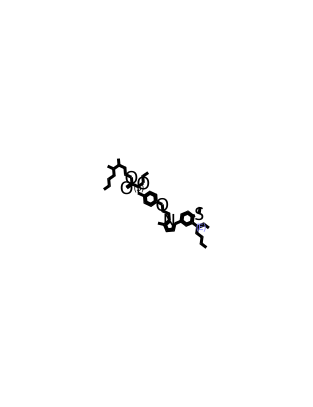 C/C=C(\CCCC)c1cc(-c2ccc(C)n2CCOc2ccc(C[C@H](OCC)C(=O)OCCC(C)C(C)CCCC)cc2)ccc1SC